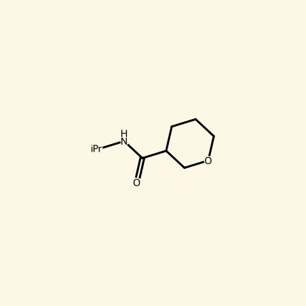 CC(C)NC(=O)C1CCCOC1